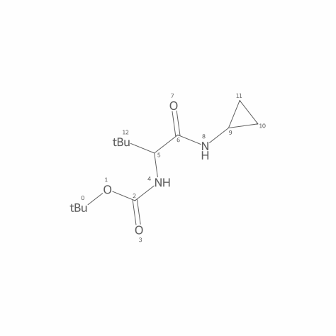 CC(C)(C)OC(=O)NC(C(=O)NC1CC1)C(C)(C)C